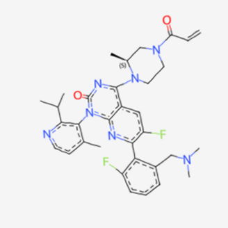 C=CC(=O)N1CCN(c2nc(=O)n(-c3c(C)ccnc3C(C)C)c3nc(-c4c(F)cccc4CN(C)C)c(F)cc23)[C@@H](C)C1